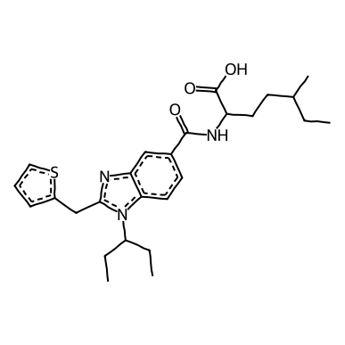 CCC(C)CCC(NC(=O)c1ccc2c(c1)nc(Cc1cccs1)n2C(CC)CC)C(=O)O